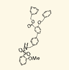 COc1ccccc1S(=O)(=O)NCc1ccc(-c2ccc(OCc3ccccc3)c(C(=O)OCc3ccccc3)c2)cc1